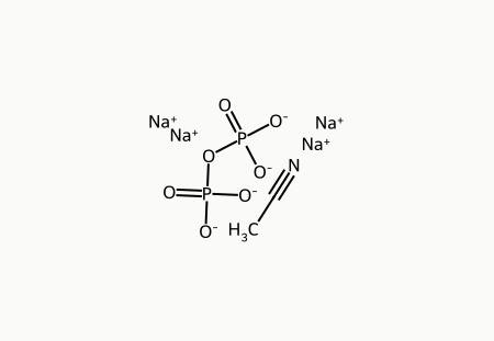 CC#N.O=P([O-])([O-])OP(=O)([O-])[O-].[Na+].[Na+].[Na+].[Na+]